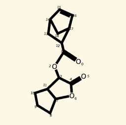 O=C(OC1C(=O)OC2CCCC21)C1CC2C=CC1C2